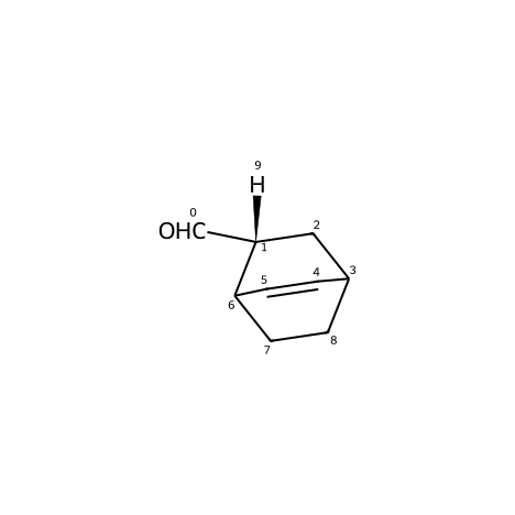 O=C[C@@H]1CC2C=CC1CC2